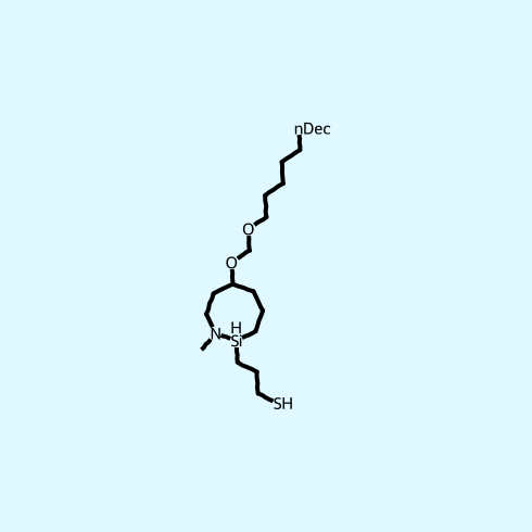 CCCCCCCCCCCCCCCOCOC1CCC[SiH](CCCS)N(C)CC1